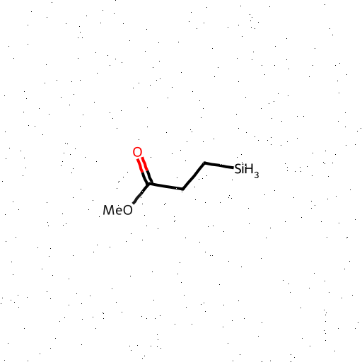 COC(=O)CC[SiH3]